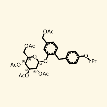 CCCOc1ccc(Cc2ccc(COC(C)=O)cc2O[C@@H]2O[C@H](COC(C)=O)[C@@H](OC(C)=O)[C@H](OC(C)=O)[C@H]2OC(C)=O)cc1